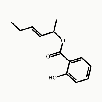 CCC=CC(C)OC(=O)c1ccccc1O